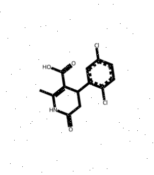 CC1=C(C(=O)O)C(c2cc(Cl)ccc2Cl)CC(=O)N1